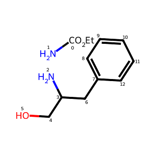 CCOC(N)=O.NC(CO)Cc1ccccc1